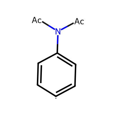 CC(=O)N(C(C)=O)c1cc[c]cc1